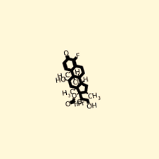 CCCC(=O)O[C@@]1(C(=O)CO)[C@H](C)C[C@H]2[C@@H]3CCC4=C(F)C(=O)C=C[C@]4(C)[C@@]3(Cl)[C@@H](O)C[C@@]21C